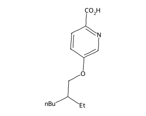 CCCCC(CC)COc1ccc(C(=O)O)nc1